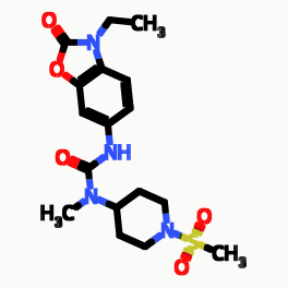 CCn1c(=O)oc2cc(NC(=O)N(C)C3CCN(S(C)(=O)=O)CC3)ccc21